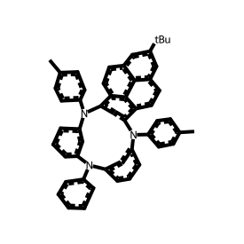 Cc1ccc(N2c3cccc(c3)N(c3ccccc3)c3cccc(c3)N(c3ccc(C)cc3)c3cc2c2ccc4cc(C(C)(C)C)cc5ccc3c2c45)cc1